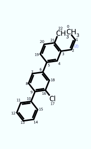 C/C=C\c1cc(-c2ccc(-c3ccccc3)c(Cl)c2)ccc1C